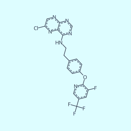 Fc1cc(C(F)(F)F)cnc1Oc1ccc(CCNc2ncnc3ncc(Cl)nc23)cc1